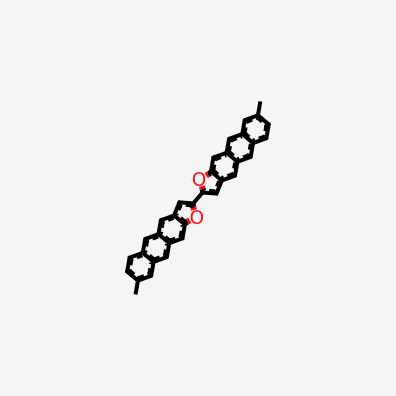 Cc1ccc2cc3cc4cc(-c5cc6cc7cc8ccc(C)cc8cc7cc6o5)oc4cc3cc2c1